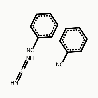 N#Cc1ccccc1.N#Cc1ccccc1.N=C=N